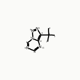 CC(C)(C)c1nnn2cncnc12